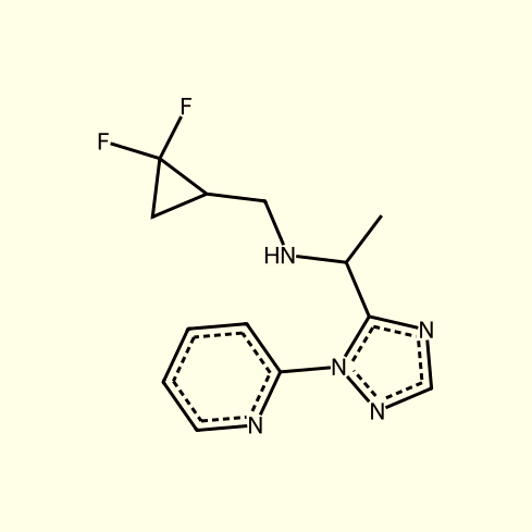 CC(NCC1CC1(F)F)c1ncnn1-c1ccccn1